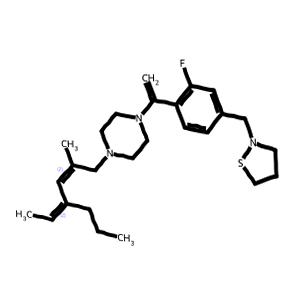 C=C(c1ccc(CN2CCCS2)cc1F)N1CCN(C/C(C)=C\C(=C/C)CCC)CC1